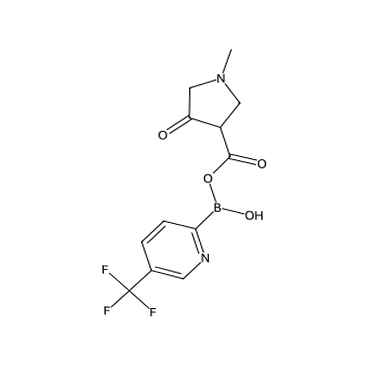 CN1CC(=O)C(C(=O)OB(O)c2ccc(C(F)(F)F)cn2)C1